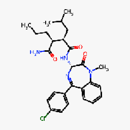 CCC[C@H](C(N)=O)[C@@H](CC(C)C)C(=O)N[C@H]1N=C(c2ccc(Cl)cc2)c2ccccc2N(C)C1=O